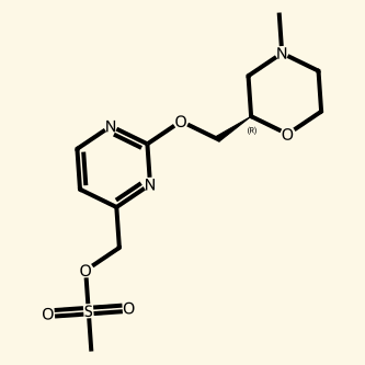 CN1CCO[C@@H](COc2nccc(COS(C)(=O)=O)n2)C1